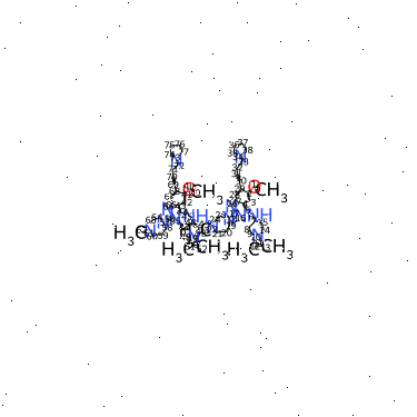 COc1cc2c(NC3CCN(C(C)C)CC3)nc(N3CCCN(C)CC3)nc2cc1C#CCCN1CCCC1.COc1cc2c(NC3CCN(C(C)C)CC3)nc(N3CCCN(C)CC3)nc2cc1C#CCCN1CCCC1